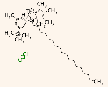 CCCCCCCCCCCCCCCCCC[Si](C)(c1cc(C)cc([Si](C)(C)C)c1)C1(C)C(C)=C(C)C(C)=[C]1[Ti+3].[Cl-].[Cl-].[Cl-]